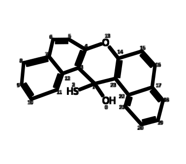 OC1(S)c2c(ccc3ccccc23)Oc2ccc3ccccc3c21